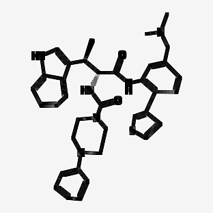 C[C@H](c1c[nH]c2ccccc12)[C@@H](NC(=O)N1CCN(c2ccccc2)CC1)C(=O)Nc1cc(CN(C)C)ccc1-c1ccsc1